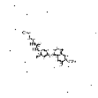 COc1cc2nccc(Oc3ccc(NC(=O)NCCCCl)c(F)c3)c2cc1C